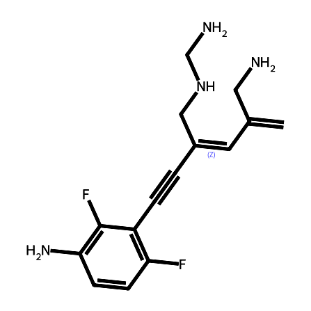 C=C(/C=C(/C#Cc1c(F)ccc(N)c1F)CNCN)CN